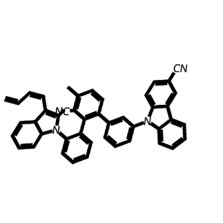 C=C/C=C\C1=C(C)N(c2ccccc2-c2c(-c3cccc(-n4c5ccccc5c5cc(C#N)ccc54)c3)ccc(C)c2C#N)C2C=CC=CC12